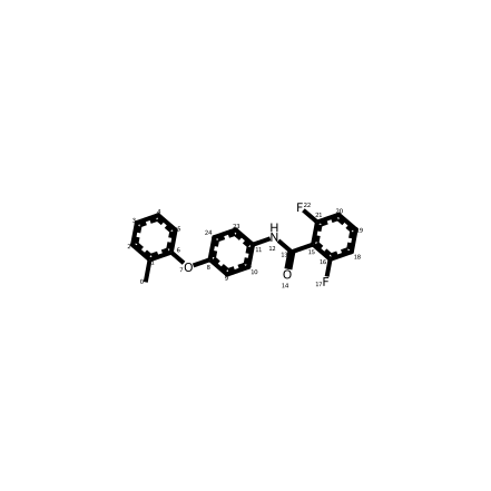 Cc1ccccc1Oc1ccc(NC(=O)c2c(F)cccc2F)cc1